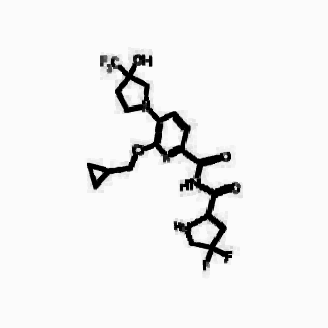 O=C(NC(=O)C1CC(F)(F)CN1)c1ccc(N2CCC(O)(C(F)(F)F)C2)c(OCC2CC2)n1